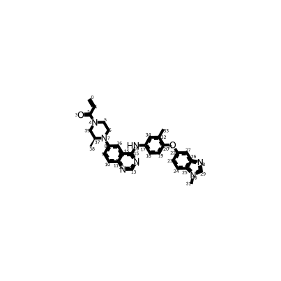 C=CC(=O)N1CCN(c2ccc3ncnc(Nc4ccc(Oc5ccc6c(c5)ncn6C)c(C)c4)c3c2)[C@@H](C)C1